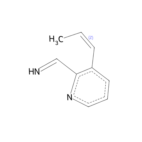 C/C=C\c1cccnc1C=N